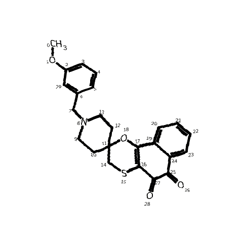 COc1cccc(CN2CCC3(CC2)CSC2=C(O3)c3ccccc3C(=O)C2=O)c1